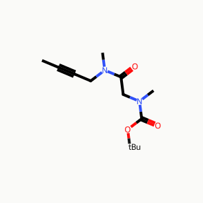 CC#CCN(C)C(=O)CN(C)C(=O)OC(C)(C)C